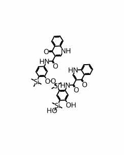 C[Si](C)(C)c1ccc(NC(=O)c2c[nH]c3ccccc3c2=O)cc1OO[Si](C)(C)c1cc([Si](C)(C)O)c(O)cc1NC(=O)c1c[nH]c2ccccc2c1=O